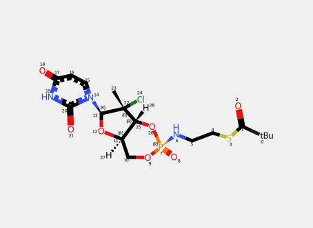 CC(C)(C)C(=O)SCCN[P@@]1(=O)OC[C@H]2O[C@@H](n3ccc(=O)[nH]c3=O)[C@](C)(Cl)[C@@H]2O1